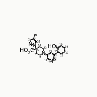 Cc1cnn(C2(C(=O)O)CCN(c3cnnc(-c4ccccc4O)c3)CC2)c1